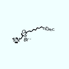 CCCCCCCCCCCCCCCCCC1OCC(Cn2cc[n+](C)c2)S1.[Br-]